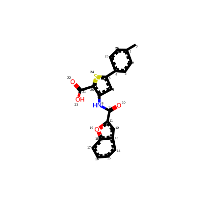 Cc1ccc(-c2cc(NC(=O)c3cc4ccccc4o3)c(C(=O)O)s2)cc1